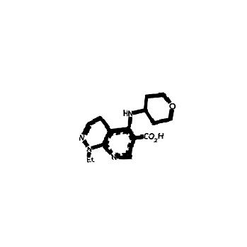 CCN1N=CCc2c1ncc(C(=O)O)c2NC1CCOCC1